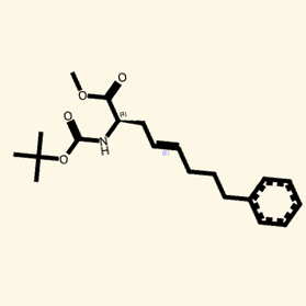 COC(=O)[C@@H](C/C=C/CCCc1ccccc1)NC(=O)OC(C)(C)C